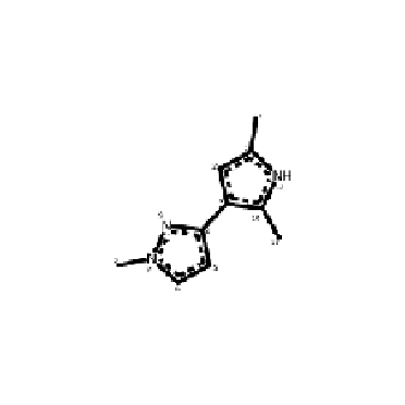 Cc1cc(-c2ccn(C)n2)c(C)[nH]1